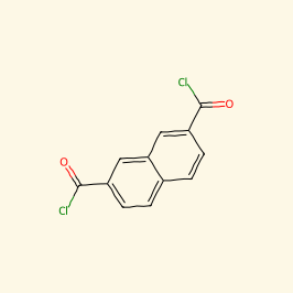 O=C(Cl)c1ccc2ccc(C(=O)Cl)cc2c1